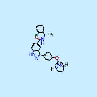 CC(C)C(NC(=O)c1ccc2[nH]nc(-c3ccc(O[C@@H]4C[C@H]5CC[C@@H](C4)N5C)cc3)c2c1)c1ccccc1F